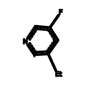 CCc1[c]ncc(F)c1